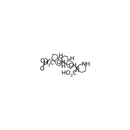 C[C@]12CC[C@H](C3CNCCCN3C(=O)O)C[C@H]1CC[C@@H]1[C@@H]2CC[C@]2(C)[C@@H](C3=CC(=O)OC3)CC[C@]12O